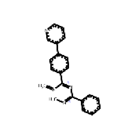 C=N/C(=N\C(=N/C)c1ccccc1)c1ccc(-c2cccnc2)cc1